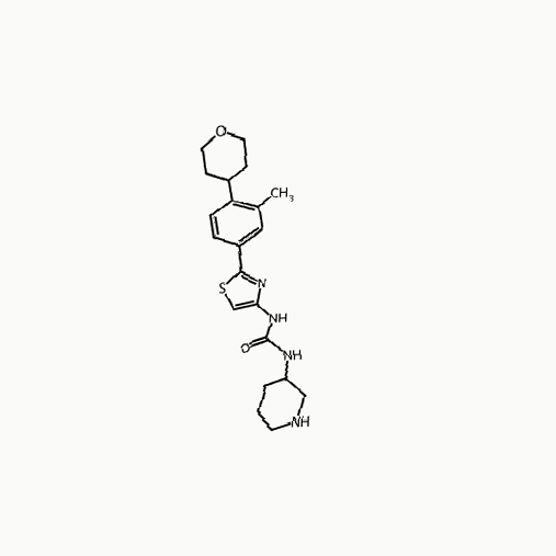 Cc1cc(-c2nc(NC(=O)NC3CCCNC3)cs2)ccc1C1CCOCC1